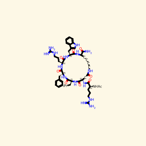 CC(=O)N[C@@H](CCCNC(=N)N)C(=O)N[C@H]1CC(=O)NCCCCC(C(N)=O)NC(=O)[C@H](Cc2c[nH]c3ccccc23)NC(=O)[C@H](CCCNC(=N)N)NC(=O)[C@@H](Cc2ccccc2)NC(=O)[C@H](CC(C)C)NC1=O